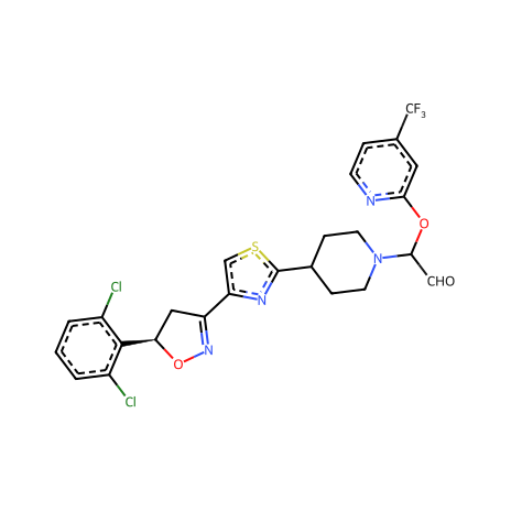 O=CC(Oc1cc(C(F)(F)F)ccn1)N1CCC(c2nc(C3=NO[C@@H](c4c(Cl)cccc4Cl)C3)cs2)CC1